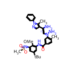 COc1c(NC(=O)c2ccc(C)c(N(N)/C=C(\N)c3cnn(-c4ccccc4)c3C)c2)cc(C(C)(C)C)cc1NS(C)(=O)=O